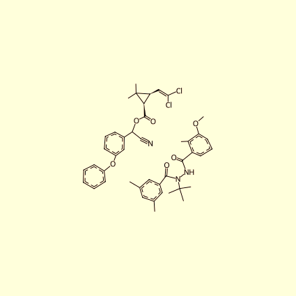 CC1(C)[C@H](C(=O)OC(C#N)c2cccc(Oc3ccccc3)c2)[C@@H]1C=C(Cl)Cl.COc1cccc(C(=O)NN(C(=O)c2cc(C)cc(C)c2)C(C)(C)C)c1C